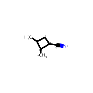 CC1CC(C#N)C1C